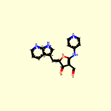 O=CC1=C(Nc2ccncc2)O/C(=C\c2c[nH]c3ncccc23)C1=O